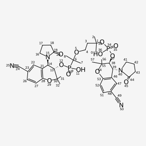 CC(C)(CCOC(C)(C)P(=O)(O)O[C@H]1[C@H](N2CCCC2=O)c2cc(C#N)ccc2OC1(C)C)OP(=O)(O)O[C@H]1[C@H](N2CCCC2=O)c2cc(C#N)ccc2OC1(C)C